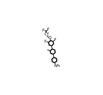 CCCc1ccc(-c2ccc(-c3cc(F)c(O[CH2][Cf]=[C](F)F)c(F)c3)c(C)c2)cc1